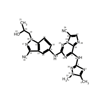 Cc1nc(Nc2nc(Nc3ccc4c(c3)c(C#N)nn4CC(C)O)nn3c(C#N)cnc23)nn1C